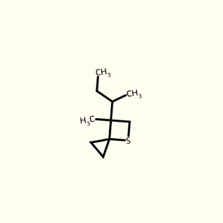 CCC(C)C1(C)CSC12CC2